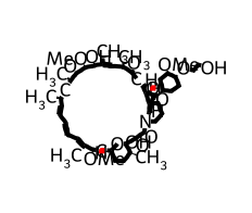 CO[C@H]1C[C@@H]2CC[C@@H](C)[C@@](O)(O2)C(=O)C(=O)N2CCCC3[C@H]2C(=O)O[C@@H](CC(=O)[C@H](C)/C=C(\C)[C@@H](O)[C@@H](OC)C(=O)[C@H](C)C[C@H](C)/C=C/C=C/C=C/1C)[C@H]3C[C@@H]1CC[C@@H](OCCO)[C@H](OC)C1